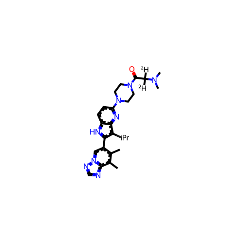 [2H]C([2H])(C(=O)N1CCN(c2ccc3[nH]c(-c4cn5ncnc5c(C)c4C)c(C(C)C)c3n2)CC1)N(C)C